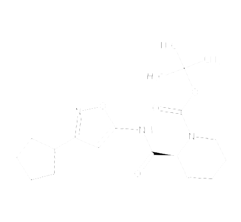 CC(C)(C)OC(=O)N1CCCC[C@H]1C(=O)Nc1cc(C2CCCC2)no1